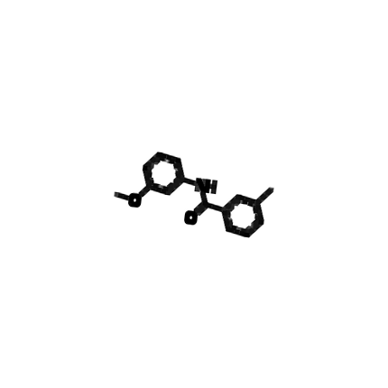 COc1cccc(NC(=O)c2cccc(C)c2)c1